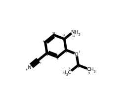 CC(C)OC1C=C(C#N)C=CC1N